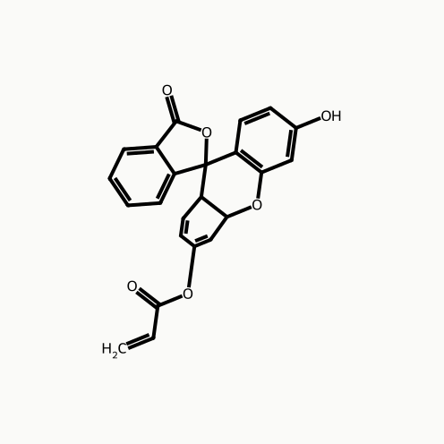 C=CC(=O)OC1=CC2Oc3cc(O)ccc3C3(OC(=O)c4ccccc43)C2C=C1